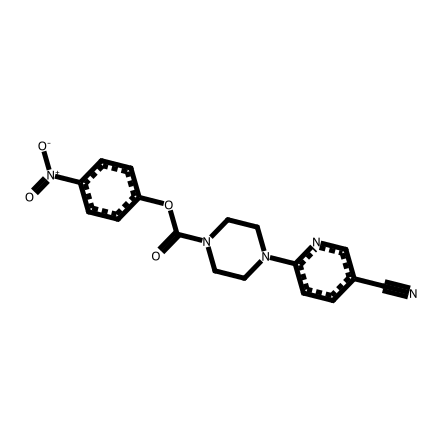 N#Cc1ccc(N2CCN(C(=O)Oc3ccc([N+](=O)[O-])cc3)CC2)nc1